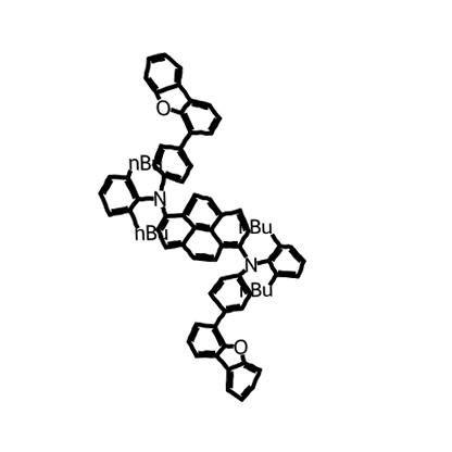 CCCCc1cccc(CCCC)c1N(c1ccc(-c2cccc3c2oc2ccccc23)cc1)c1ccc2ccc3c(N(c4ccc(-c5cccc6c5oc5ccccc56)cc4)c4c(CCCC)cccc4CCCC)ccc4ccc1c2c43